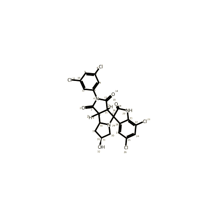 [2H]C12C(=O)N(c3cc(Cl)cc(Cl)c3)C(=O)C1([2H])C1(C(=O)Nc3c(Cl)cc(Cl)cc31)N1C[C@@H](O)CC12